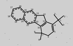 CC(C)(C)C1=CCC(C)(C)C2=C1Cc1cc3ccccc3cc12